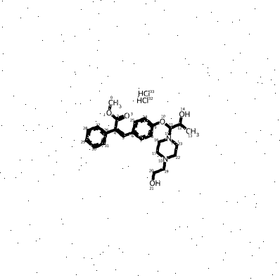 COC(=O)C(=Cc1ccc(OC(C(C)O)N2CCN(CCO)CC2)cc1)c1ccccc1.Cl.Cl